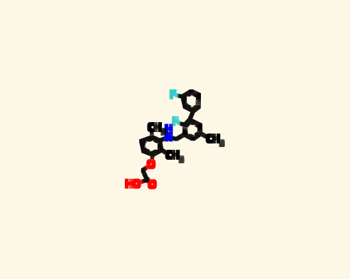 Cc1cc(CNc2c(C)ccc(OCC(=O)O)c2C)c(F)c(-c2cccc(F)c2)c1